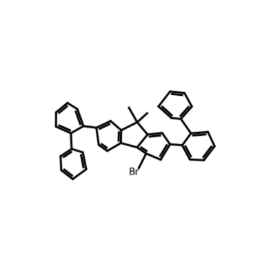 CC1(C)c2cc(-c3ccccc3-c3ccccc3)ccc2-c2c(Br)cc(-c3ccccc3-c3ccccc3)cc21